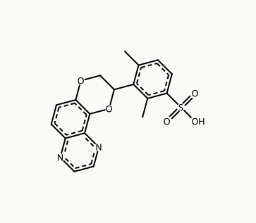 Cc1ccc(S(=O)(=O)O)c(C)c1C1COc2ccc3nccnc3c2O1